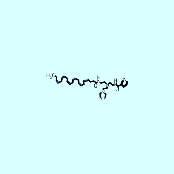 CC/C=C\C/C=C\C/C=C\C/C=C\C/C=C\C/C=C\CCC(=O)NCCN(CCNC(=O)c1cccnc1)CCN1CCOCC1